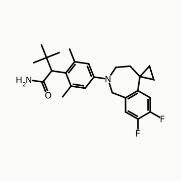 Cc1cc(N2CCC3(CC3)c3cc(F)c(F)cc3C2)cc(C)c1C(C(N)=O)C(C)(C)C